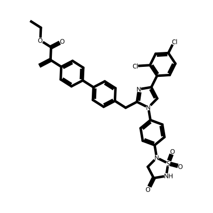 C=C(C(=O)OCC)c1ccc(-c2ccc(Cc3nc(-c4ccc(Cl)cc4Cl)cn3-c3ccc(N4CC(=O)NS4(=O)=O)cc3)cc2)cc1